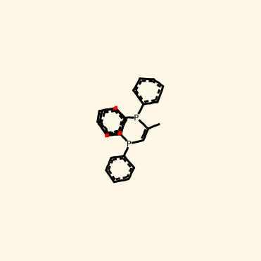 C/C(=C/P(c1ccccc1)c1ccccc1)P(c1ccccc1)c1ccccc1